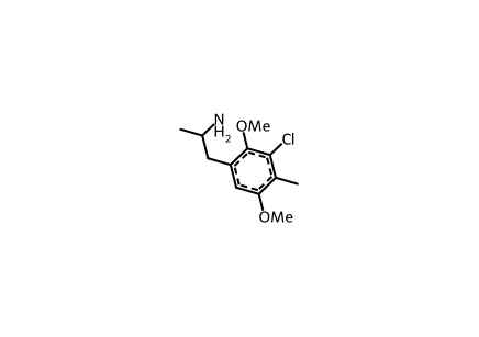 COc1cc(CC(C)N)c(OC)c(Cl)c1C